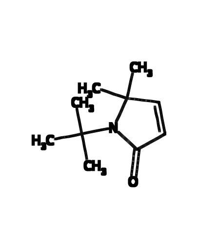 CC(C)(C)N1C(=O)C=CC1(C)C